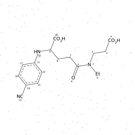 CCN(CCC(=O)O)C(=O)CCC(Nc1ccc(C#N)cc1)C(=O)O